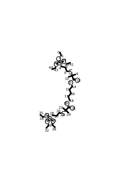 CCO[Si](CCCSC(C)(C)C(=O)OCCCCCOC(=O)C(C)(C)SCCC[Si](OCC)(OCC)OCC)(OCC)OCC